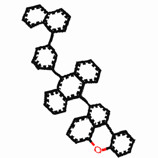 c1cc(-c2cccc3ccccc23)cc(-c2c3ccccc3c(-c3ccc4c5c(cccc35)Oc3ccccc3-4)c3ccccc23)c1